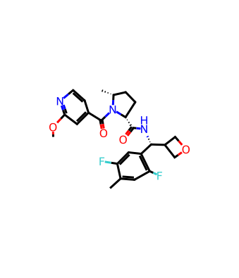 COc1cc(C(=O)N2[C@H](C)CC[C@@H]2C(=O)N[C@@H](c2cc(F)c(C)cc2F)C2COC2)ccn1